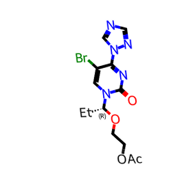 CC[C@@H](OCCOC(C)=O)n1cc(Br)c(-n2cncn2)nc1=O